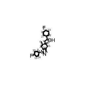 CC1=Cc2c(cnn2-c2ccc(F)cc2)C[C@@]1(C)CC(O)c1ccc(F)cc1